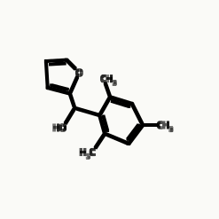 Cc1cc(C)c(C(O)c2ccco2)c(C)c1